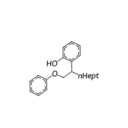 CCCCCCCC(COc1ccccc1)c1ccccc1O